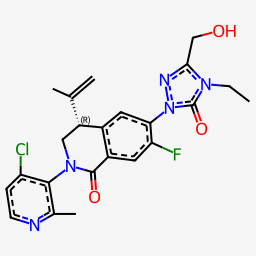 C=C(C)[C@H]1CN(c2c(Cl)ccnc2C)C(=O)c2cc(F)c(-n3nc(CO)n(CC)c3=O)cc21